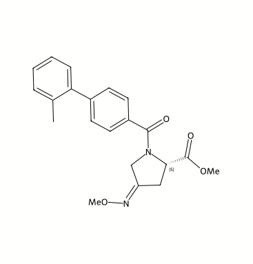 CON=C1C[C@@H](C(=O)OC)N(C(=O)c2ccc(-c3ccccc3C)cc2)C1